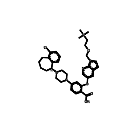 C[Si](C)(C)CCOCn1ccc2cc(Oc3cc(N4CCN([C@H]5CCCCc6c(Cl)cccc65)CC4)ccc3C(=O)O)cnc21